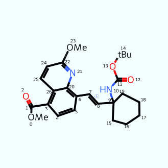 COC(=O)c1ccc(/C=C/C2(NC(=O)OC(C)(C)C)CCCCC2)c2nc(OC)ccc12